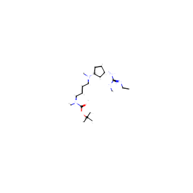 CC/N=C(\NC)N[C@H]1CC[C@H](N(C)CCCCN(C)C(=O)OC(C)(C)C)C1